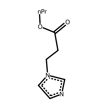 CCCOC(=O)CCn1ccnc1